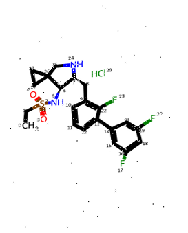 CCS(=O)(=O)N[C@@H]1[C@H](Cc2cccc(-c3cc(F)cc(F)c3)c2F)NCC12CC2.Cl